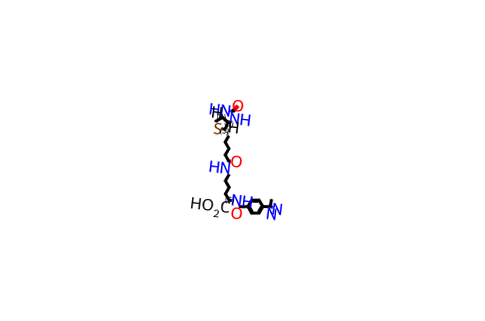 CC1(c2ccc(C(=O)N[C@@H](CCCCNC(=O)CCCC[C@@H]3SC[C@@H]4NC(=O)N[C@@H]43)C(=O)O)cc2)N=N1